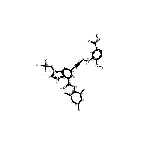 CNC(=O)c1ccc(OC)c(NCC#Cc2cc(C(=O)NC3C(C)CN(C)CC3C)c3ncn(CC(F)(F)F)c3c2)c1